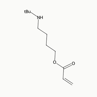 C=CC(=O)OCCCCNC(C)(C)C